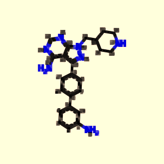 Nc1cccc(-c2ccc(-c3nn(CC4CCNCC4)c4ncnc(N)c34)cc2)c1